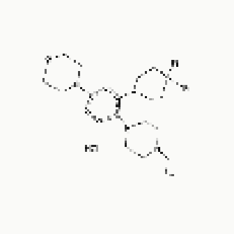 CCC1(CC)CCC(c2cc(N3CCOCC3)ccc2N2CCN(CC(C)C)CC2)CC1.Cl